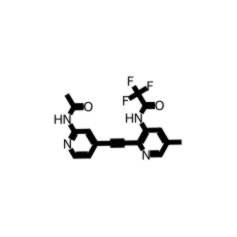 CC(=O)Nc1cc(C#Cc2ncc(C)cc2NC(=O)C(F)(F)F)ccn1